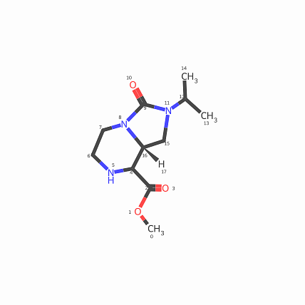 COC(=O)C1NCCN2C(=O)N(C(C)C)C[C@H]12